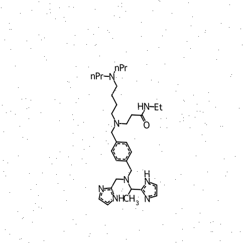 CCCN(CCC)CCCCN(CCC(=O)NCC)Cc1ccc(CN(Cc2ncc[nH]2)C(C)c2ncc[nH]2)cc1